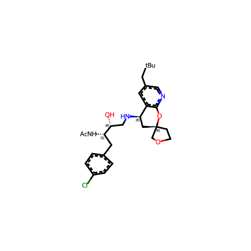 CC(=O)N[C@@H](Cc1ccc(Cl)cc1)[C@H](O)CN[C@@H]1C[C@]2(CCOC2)Oc2ncc(CC(C)(C)C)cc21